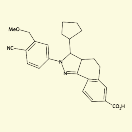 COCc1cc(N2N=C3c4ccc(C(=O)O)cc4CCC3C2C2CCCC2)ccc1C#N